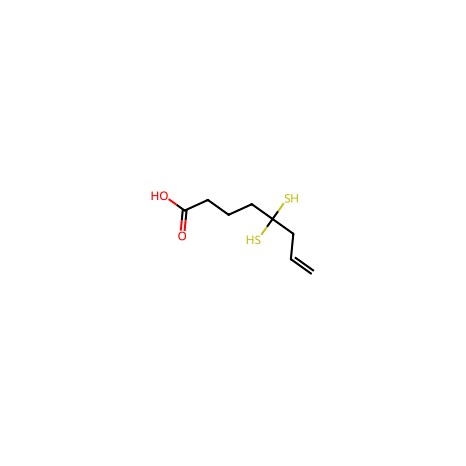 C=CCC(S)(S)CCCC(=O)O